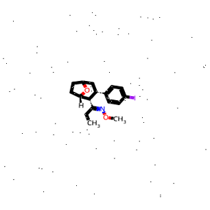 CCC(=NOC)[C@@H]1[C@@H]2CCC(C[C@@H]1c1ccc(I)cc1)O2